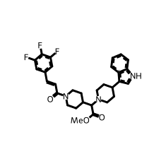 COC(=O)C(C1CCN(C(=O)/C=C/c2cc(F)c(F)c(F)c2)CC1)N1CCC(c2c[nH]c3ccccc23)CC1